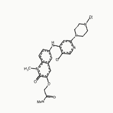 CCN1CCN(c2cc(Nc3ccc4c(c3)cc(OCC(=O)NC)c(=O)n4C)c(Cl)cn2)CC1